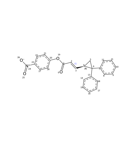 O=C(/C=C/[C@H]1CC1(c1ccccc1)c1ccccc1)Oc1ccc([N+](=O)[O-])cc1